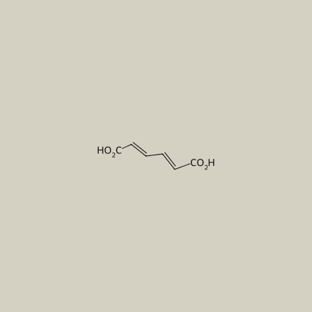 O=C(O)C=C/C=C/C(=O)O